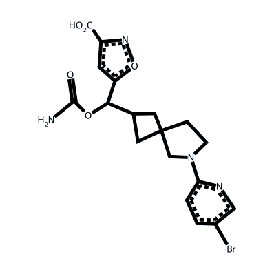 NC(=O)OC(c1cc(C(=O)O)no1)C1CC2(CCN(c3ccc(Br)cn3)C2)C1